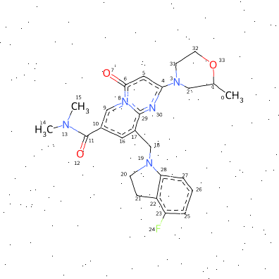 CC1CN(c2cc(=O)n3cc(C(=O)N(C)C)cc(CN4CCc5c(F)cccc54)c3n2)CCO1